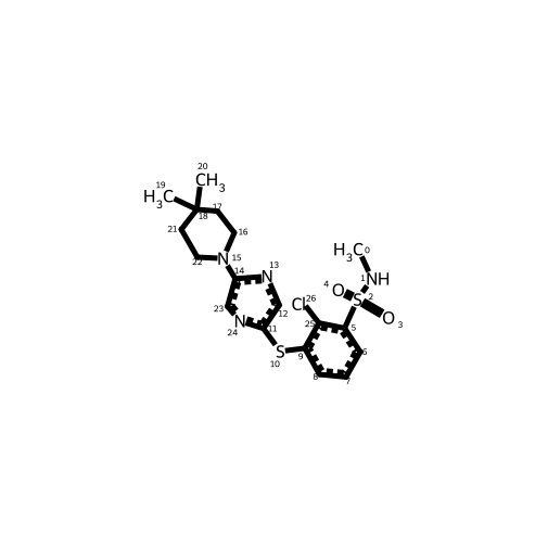 CNS(=O)(=O)c1cccc(Sc2cnc(N3CCC(C)(C)CC3)cn2)c1Cl